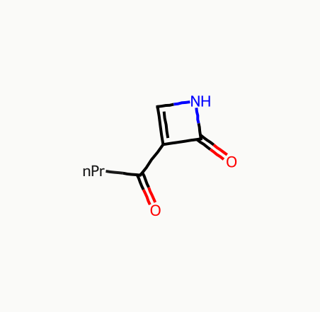 CCCC(=O)C1=CNC1=O